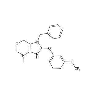 CN1COCC2=C1NC(Oc1cccc(OC(F)(F)F)c1)N2Cc1ccccc1